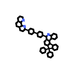 c1ccc(C2(c3ccccc3)c3ccccc3-c3c2ccc2c(-c4ccc(-c5ccc(-c6ccc7ccc8cccnc8c7n6)cc5)cc4)nc4ccccc4c32)cc1